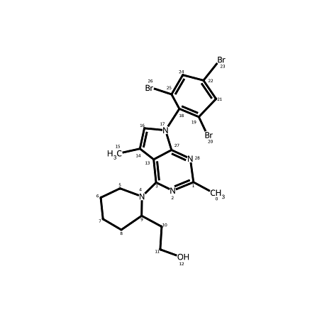 Cc1nc(N2CCCCC2CCO)c2c(C)cn(-c3c(Br)cc(Br)cc3Br)c2n1